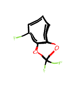 Fc1cccc2c1OC(F)(F)O2